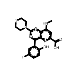 CNc1cc(C(=O)O)nc2c(-c3cc(F)ccc3O)nc(N3CCOCC3)nc12